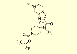 CC(C)N1CCn2cc(C(=O)N(C)C3(C)CCN(C(=O)OC(C(F)(F)F)C(F)(F)F)CC3)nc2C1